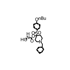 CCCCOc1ccc(S(=O)(=O)C2(OC(=O)NO)CCN(Cc3ccccc3)CC2)cc1